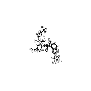 COc1cc(C(=O)NC23COC(C(F)(F)F)(C2)C3)c(NC(=O)c2c(OC)ccc3nc(N4C5COCC4C5)sc23)cn1